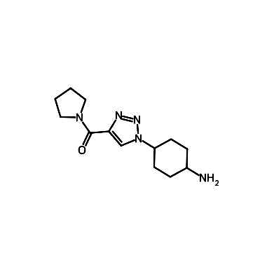 NC1CCC(n2cc(C(=O)N3CCCC3)nn2)CC1